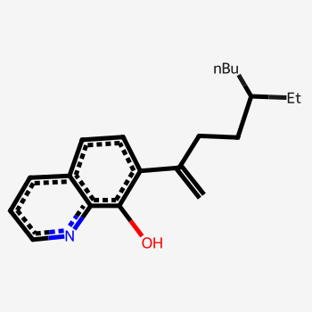 C=C(CCC(CC)CCCC)c1ccc2cccnc2c1O